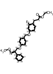 CCOC(=O)CCc1ccc(OCc2ccc(OC/C(=N\OC)c3ccccc3)cc2)cc1F